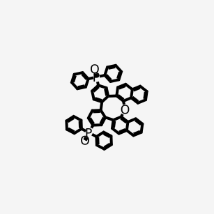 O=P(c1ccccc1)(c1ccccc1)c1ccc2c3ccc(P(=O)(c4ccccc4)c4ccccc4)cc3c3ccc4ccccc4c3oc3c4ccccc4ccc3c2c1